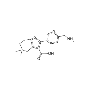 CC1(C)CCc2sc(-c3ccc(CN)nc3)c(C(=O)O)c2C1